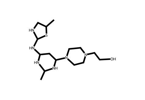 CC1NC(NC2NCC(C)S2)CC(N2CCN(CCO)CC2)N1